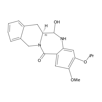 COc1cc2c(cc1OC(C)C)NC(O)[C@@H]1Cc3ccccc3CN1C2=O